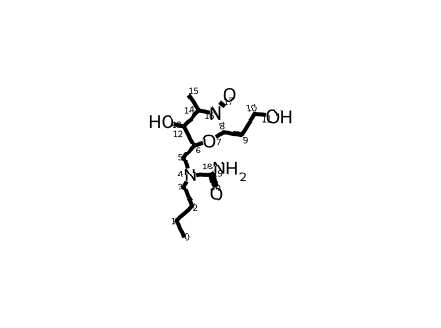 CCCCN(CC(OCCCO)C(O)C(C)N=O)C(N)=O